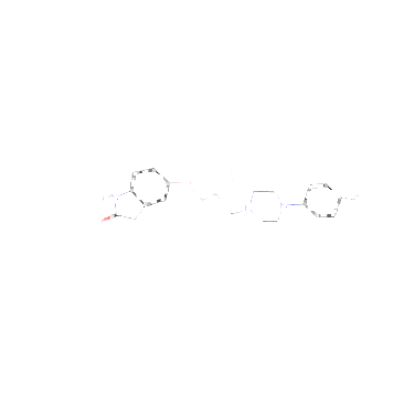 CCc1ccc(N2CCN(C[C@@H](O)COc3ccc4c(c3)CC(=O)N4)CC2)cc1